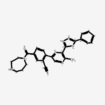 Cc1ncc(-c2ccc(C(=O)N3CCCNCC3)cc2C#N)nc1-c1nnc(-c2ccccc2)o1